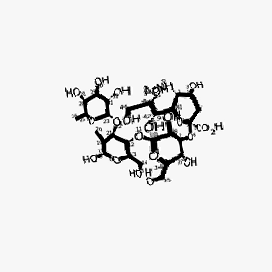 CC(=O)N[C@@H]1C(O)C[C@](OC2C(O)[C@H](O[C@@H]3C(CO)O[C@@H](O)C(C)[C@H]3O[C@@H]3OC(C)[C@@H](O)C(O)[C@@H]3O)OC(CO)[C@@H]2O)(C(=O)O)OC1[C@H](O)[C@H](O)CO